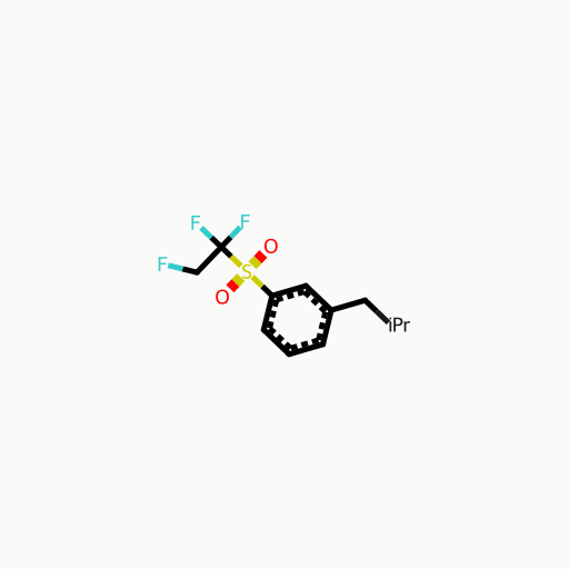 CC(C)Cc1cccc(S(=O)(=O)C(F)(F)CF)c1